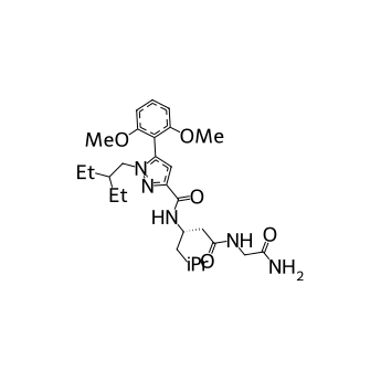 CCC(CC)Cn1nc(C(=O)N[C@H](CC(=O)NCC(N)=O)CC(C)C)cc1-c1c(OC)cccc1OC